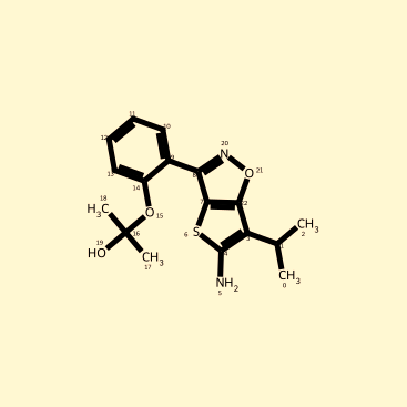 CC(C)c1c(N)sc2c(-c3ccccc3OC(C)(C)O)noc12